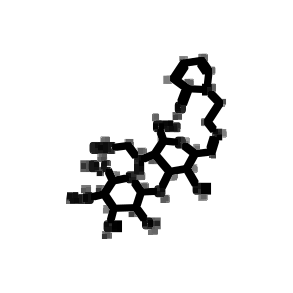 COC1OC(/C=N\CCn2ccccc2=O)C(O)C(OC2OC(C(=O)O)C(OC)C(O)C2O)C1NCC=O